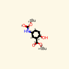 CC(C)(C)OC(=O)Nc1ccc(O)c(C(=O)OC(C)(C)C)c1